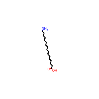 NCCCC=CCC=CCC=CCC=CCCC(=O)O